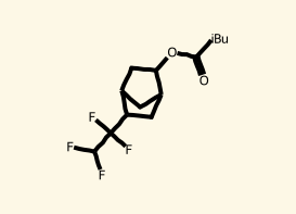 CCC(C)C(=O)OC1CC2CC1CC2C(F)(F)C(F)F